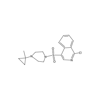 CC1(N2CCN(S(=O)(=O)c3cnc(Cl)c4ccccc34)CC2)CC1